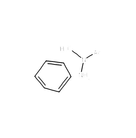 CC(=O)N(C)N.c1ccccc1